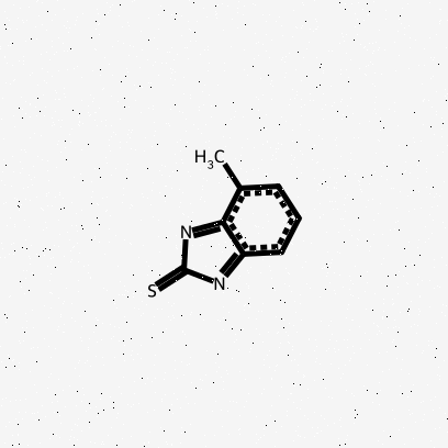 Cc1cccc2c1=NC(=S)N=2